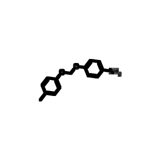 Cc1ccc(OCOc2ccc(N)cc2)cc1